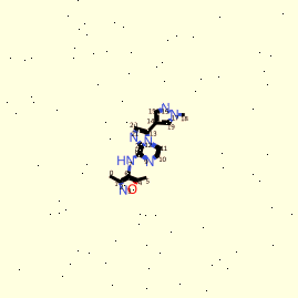 Cc1noc(C)c1Nc1nccn2c(-c3cnn(C)c3)cnc12